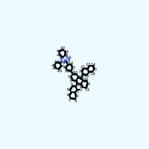 CC1c2ccccc2C=CC1c1c2ccccc2c(-c2ccc3ccccc3c2)c2cc(-c3ccc(-c4nc5ccccc5n4-c4ccccc4)cc3)ccc12